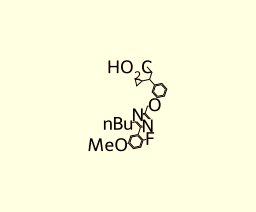 CCCCc1nc(COc2cccc(C(CC(=O)O)C3CC3)c2)cnc1-c1cc(OC)ccc1F